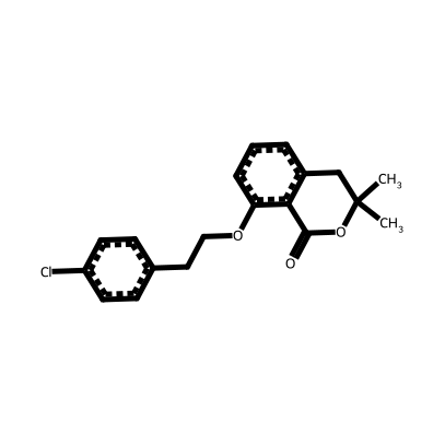 CC1(C)Cc2cccc(OCCc3ccc(Cl)cc3)c2C(=O)O1